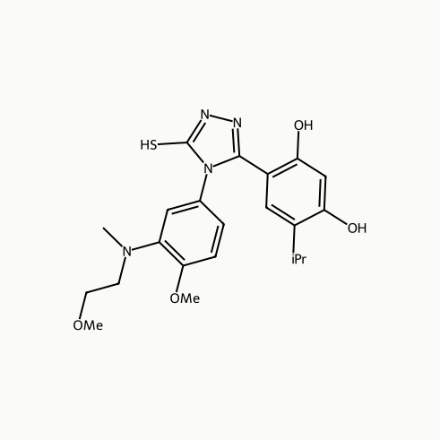 COCCN(C)c1cc(-n2c(S)nnc2-c2cc(C(C)C)c(O)cc2O)ccc1OC